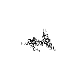 CCC(=O)c1c(CC(C)C)cc(Br)c(N=NCC(=O)[N+](CCOC(C)=O)(CCOC(C)=O)c2ccccc2)c1Br